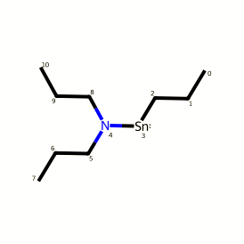 CC[CH2][Sn][N](CCC)CCC